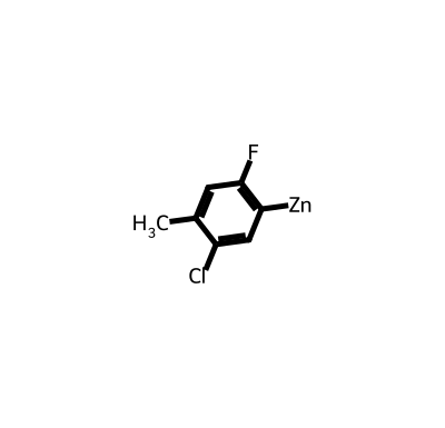 Cc1cc(F)[c]([Zn])cc1Cl